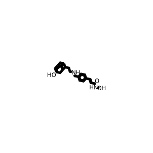 O=C(/C=C/c1ccc(CNCCC2C3CC4CC2CC(O)(C4)C3)cc1)NO